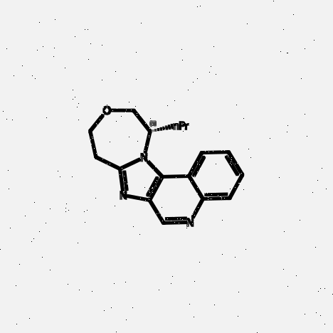 CCC[C@H]1COCCc2nc3cnc4ccccc4c3n21